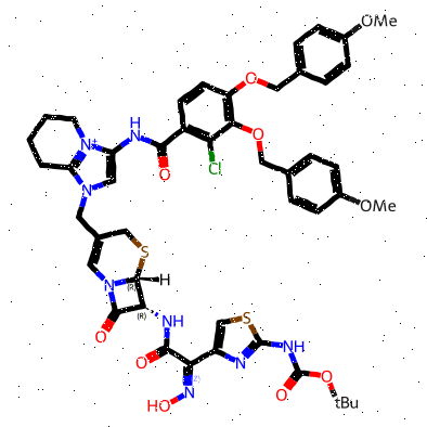 COc1ccc(COc2ccc(C(=O)Nc3cn(CC4=CN5C(=O)[C@@H](NC(=O)/C(=N\O)c6csc(NC(=O)OC(C)(C)C)n6)[C@H]5SC4)c4[n+]3CCCC4)c(Cl)c2OCc2ccc(OC)cc2)cc1